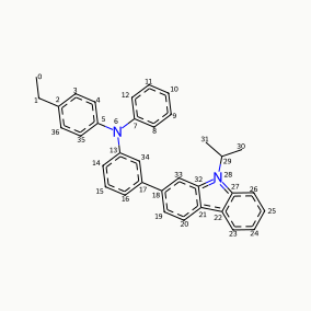 CCc1ccc(N(c2ccccc2)c2cccc(-c3ccc4c5ccccc5n(C(C)C)c4c3)c2)cc1